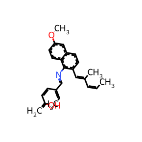 C=C(O)\C=C/C(/C=N/c1c(/C=C(C)/C=C\C)ccc2cc(OC)ccc12)=C\C